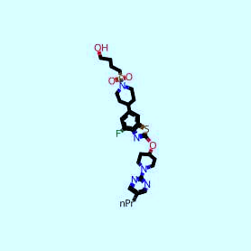 CCCc1cnc(N2CCC(Oc3nc4c(F)cc(C5CCN(S(=O)(=O)CCCCO)CC5)cc4s3)CC2)nc1